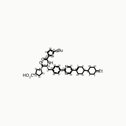 CCC1CCC(C2CC=C(c3cnc(-c4ccc(C[C@H](NC(=O)c5ccc(C(C)(C)C)s5)C(=O)N5CC[C@H](C(=O)O)C5)cc4)nc3)CC2)CC1